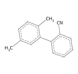 Cc1ccc(C)c(-c2ccccc2C#N)c1